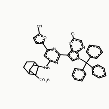 N#Cc1ccc(-c2cc(NC3C4CCC(CC4)C3C(=O)O)nc(-c3cn(C(c4ccccc4)(c4ccccc4)c4ccccc4)c4ncc(Cl)nc34)n2)o1